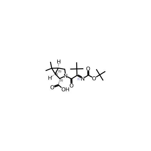 CC(C)(C)OC(=O)/N=C(/C(=O)N1C[C@H]2[C@@H]([C@H]1C(=O)O)C2(C)C)C(C)(C)C